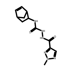 Cn1ncc(C(=O)NNC(=S)NC2CC3C=CC2C3)n1